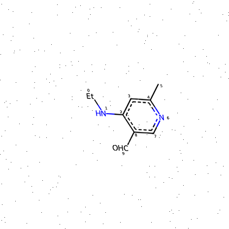 CCNc1cc(C)ncc1C=O